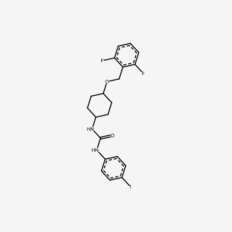 O=C(Nc1ccc(I)cc1)NC1CCC(OCc2c(F)cccc2F)CC1